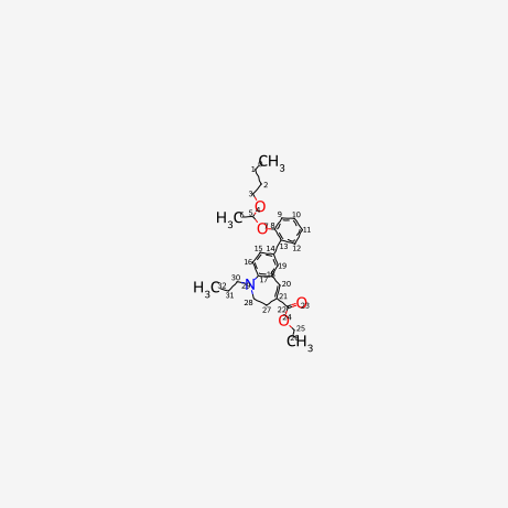 CCCCOC(C)Oc1ccccc1-c1ccc2c(c1)C=C(C(=O)OCC)CCN2CCC